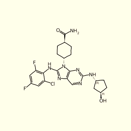 NC(=O)[C@H]1CC[C@H](n2c(Nc3c(F)cc(F)cc3Cl)nc3cnc(N[C@@H]4CC[C@@H](O)C4)nc32)CC1